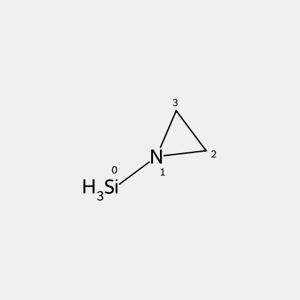 [SiH3]N1CC1